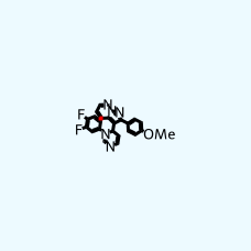 COc1ccc(-c2nn3ncccc3c2C2C=CN=CN2c2ccc(F)c(F)c2)cc1